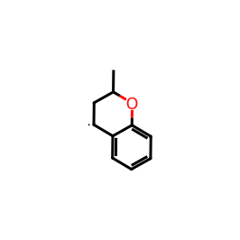 CC1C[CH]c2ccccc2O1